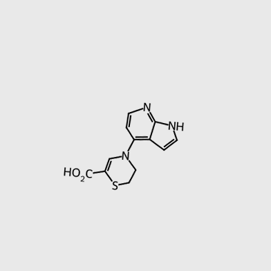 O=C(O)C1=CN(c2ccnc3[nH]ccc23)CCS1